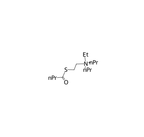 CCCC(=O)SCC[N+](CC)(CCC)CCC